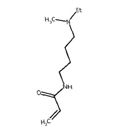 C=CC(=O)NCCCCN(C)CC